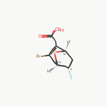 O=C(O)C1=C(Br)[C@H]2O[C@@H]1C[C@@H]2F